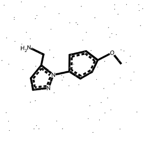 COc1ccc(-n2nccc2CN)cc1